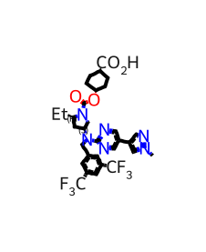 CC[C@@H]1C[C@H](N(Cc2cc(C(F)(F)F)cc(C(F)(F)F)c2)c2ncc(-c3cnn(C)c3)cn2)CN1C(=O)O[C@H]1CC[C@@H](C(=O)O)CC1